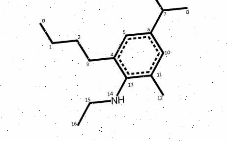 CCCCc1cc(C(C)C)cc(C)c1NCC